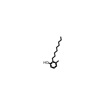 CCCCCCCCCc1c(C)cccc1O